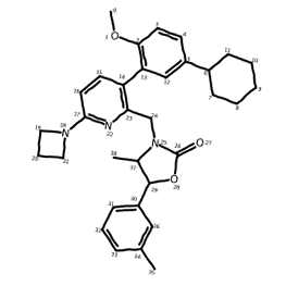 COc1ccc(C2CCCCC2)cc1-c1ccc(N2CCC2)nc1CN1C(=O)OC(c2cccc(C)c2)C1C